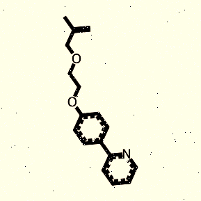 C=C(C)COCCOc1ccc(-c2ccccn2)cc1